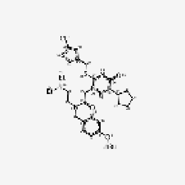 CCCCOc1ccc(CN(CCN(CC)CC)C(=O)Cn2nc(C3CCCC3)c(=O)nc2SCc2csc(Cl)c2)cc1